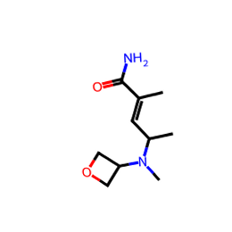 C/C(=C\C(C)N(C)C1COC1)C(N)=O